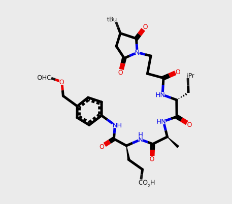 CC(C)C[C@@H](NC(=O)CCN1C(=O)CC(C(C)(C)C)C1=O)C(=O)N[C@@H](C)C(=O)N[C@@H](CCC(=O)O)C(=O)Nc1ccc(COC=O)cc1